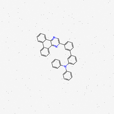 c1ccc(N(c2ccccc2)c2cccc(-c3cccc(-c4cnc5c6ccccc6c6ccccc6c5n4)c3)c2)cc1